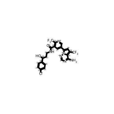 Nc1ncnn2c(-c3cnc(C(F)(F)F)c(C(=O)NCCC(O)c4ccc(Cl)cc4)c3)cc(C(F)(F)F)c12